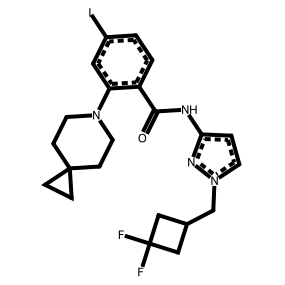 O=C(Nc1ccn(CC2CC(F)(F)C2)n1)c1ccc(I)cc1N1CCC2(CC1)CC2